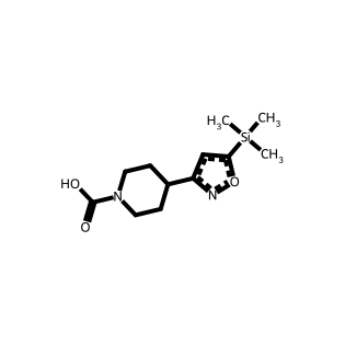 C[Si](C)(C)c1cc(C2CCN(C(=O)O)CC2)no1